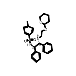 Cc1ccc(S(=O)(=O)N[C@H](c2ccccc2)[C@H](NCCOC2CCCCO2)c2ccccc2)cc1